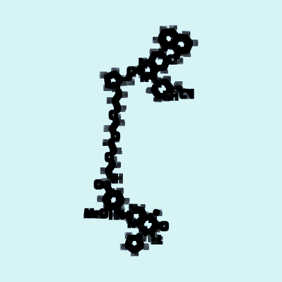 CC[C@@H]1C(=O)N(C)c2cnc(Nc3ccc(C(=O)NCCOCCOCCOCCCN4CCC[C@H]4COc4nc5c(c(N6CCN[C@@H](CC#N)C6)n4)CCN(c4cccc6cccc(Cl)c46)C5)cc3OC)nc2N1C1CCCC1